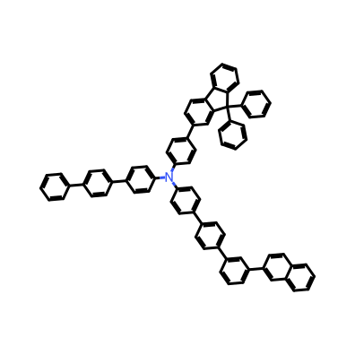 c1ccc(-c2ccc(-c3ccc(N(c4ccc(-c5ccc(-c6cccc(-c7ccc8ccccc8c7)c6)cc5)cc4)c4ccc(-c5ccc6c(c5)C(c5ccccc5)(c5ccccc5)c5ccccc5-6)cc4)cc3)cc2)cc1